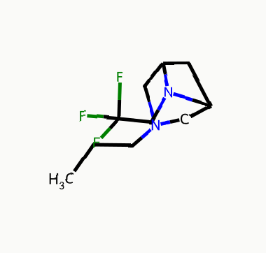 CCCN1CC2CC(C1)N2CC(F)(F)F